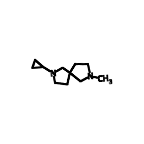 CN1CCC2(CCN(C3CC3)C2)C1